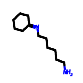 NCCCCCCN=C1CCCCC1